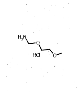 COCCOCN.Cl